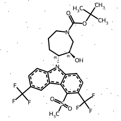 CC(C)(C)OC(=O)N1CCC[C@@H](n2c3ccc(C(F)(F)F)cc3c3c(S(C)(=O)=O)c(C(F)(F)F)ccc32)[C@H](O)C1